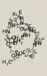 CCOP1(=O)Cc2ccc(c(OC)c2Cl)Nc2ncc(C(F)(F)F)c(n2)Nc2ccc(nc2C(=O)NC)-c2cnn(c2)CC2(COC2)CO1